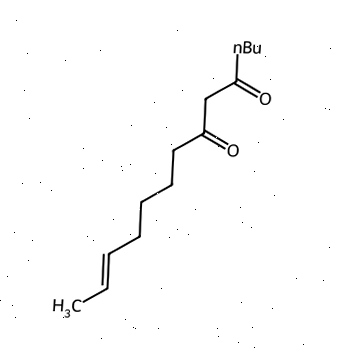 CC=CCCCCC(=O)CC(=O)CCCC